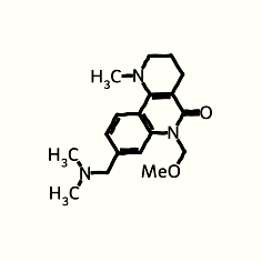 COCn1c(=O)c2c(c3ccc(CN(C)C)cc31)N(C)CCC2